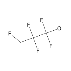 [O]C(F)(F)C(F)(F)CF